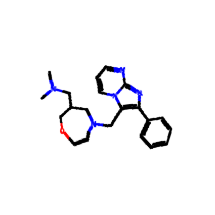 CN(C)CC1COCCN(Cc2c(-c3ccccc3)nc3ncccn23)C1